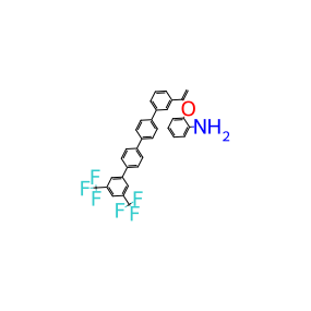 C=C(Oc1ccccc1N)c1cccc(-c2ccc(-c3ccc(-c4cc(C(F)(F)F)cc(C(F)(F)F)c4)cc3)cc2)c1